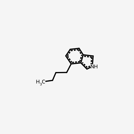 CCCCc1cccc2c[nH]cc12